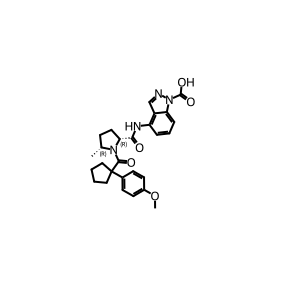 COc1ccc(C2(C(=O)N3[C@H](C)CC[C@@H]3C(=O)Nc3cccc4c3cnn4C(=O)O)CCCC2)cc1